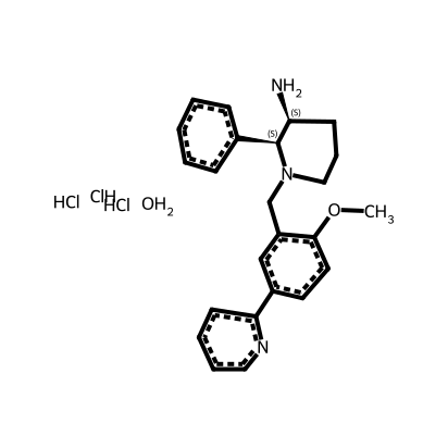 COc1ccc(-c2ccccn2)cc1CN1CCC[C@H](N)[C@@H]1c1ccccc1.Cl.Cl.Cl.O